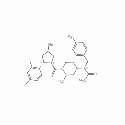 COC(=O)[C@H](Cc1ccc(C(F)(F)F)cc1)N1CCN(C(=O)[C@@H]2CN(C(C)(C)C)C[C@H]2c2ccc(F)cc2F)C(C)C1